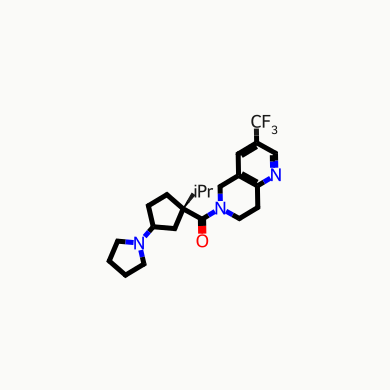 CC(C)[C@]1(C(=O)N2CCc3ncc(C(F)(F)F)cc3C2)CCC(N2CCCC2)C1